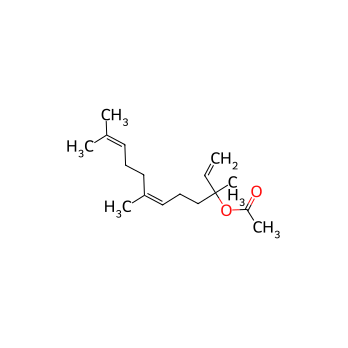 C=CC(C)(CC/C=C(/C)CCC=C(C)C)OC(C)=O